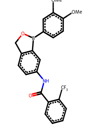 COc1ccc(B2OCc3ccc(NC(=O)c4ccccc4C(F)(F)F)cc32)cc1OC